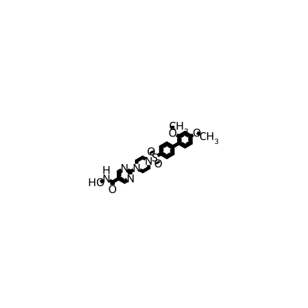 COc1ccc(-c2ccc(S(=O)(=O)N3CCN(c4ncc(C(=O)NO)cn4)CC3)cc2)c(OC)c1